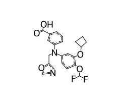 O=C(O)c1cccc(N(Cc2cnco2)c2ccc(OC(F)F)c(OC3CCC3)c2)c1